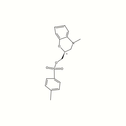 Cc1ccc(S(=O)(=O)OC[C@@H]2CN(C)c3ccccc3O2)cc1